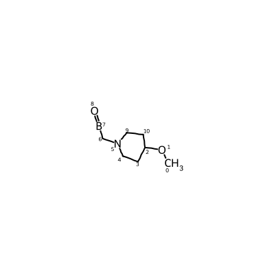 COC1CCN(CB=O)CC1